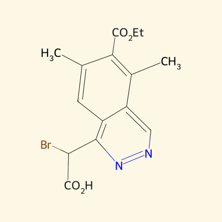 CCOC(=O)c1c(C)cc2c(C(Br)C(=O)O)nncc2c1C